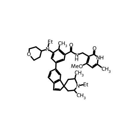 CCN(c1cc(-c2ccc3c(c2)C2(C=C3)CC(C)N(CC)C(C)C2)cc(C(=O)NCc2c(OC)cc(C)[nH]c2=O)c1C)C1CCOCC1